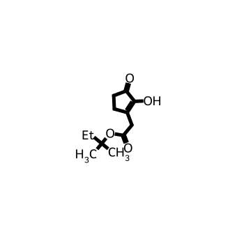 CCC(C)(C)OC(=O)CC1=C(O)C(=O)CC1